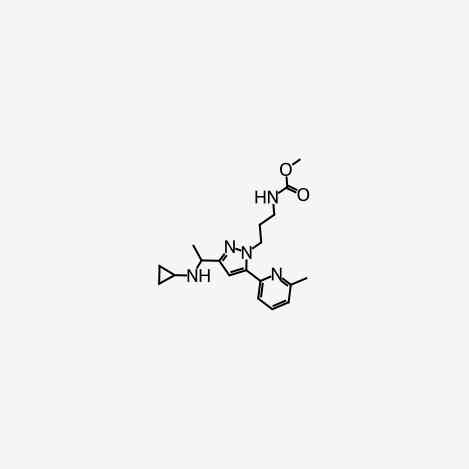 COC(=O)NCCCn1nc(C(C)NC2CC2)cc1-c1cccc(C)n1